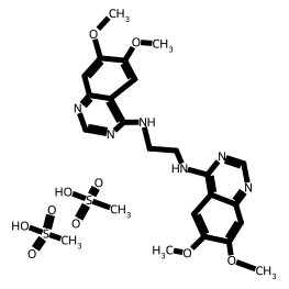 COc1cc2ncnc(NCCNc3ncnc4cc(OC)c(OC)cc34)c2cc1OC.CS(=O)(=O)O.CS(=O)(=O)O